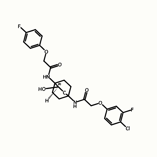 O=C(COc1ccc(Cl)c(F)c1)NC12CCC(NC(=O)COc3ccc(F)cc3)(CC1)[C@H](O)C2